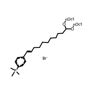 CCCCCCCCOC(CCCCCCCCC=Cc1ccc([P+](C)(C)C)cc1)OCCCCCCCC.[Br-]